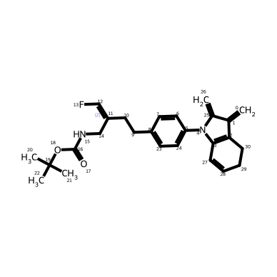 C=c1c2c(n(-c3ccc(CC/C(=C/F)CNC(=O)OC(C)(C)C)cc3)c1=C)C=CCC2